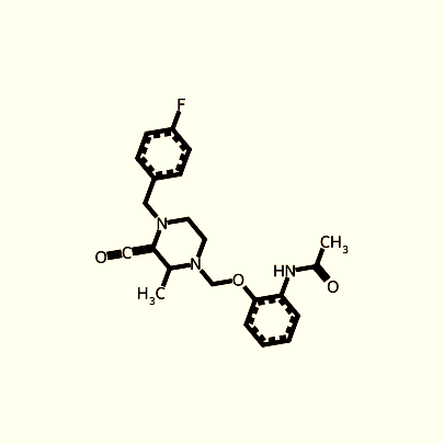 CC(=O)Nc1ccccc1OCN1CCN(Cc2ccc(F)cc2)C(=C=O)C1C